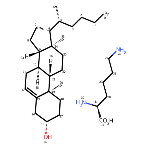 CC(C)CCC[C@@H](C)[C@H]1CC[C@H]2[C@@H]3CC=C4C[C@@H](O)CC[C@]4(C)[C@H]3CC[C@]12C.NCCCC[C@H](N)C(=O)O